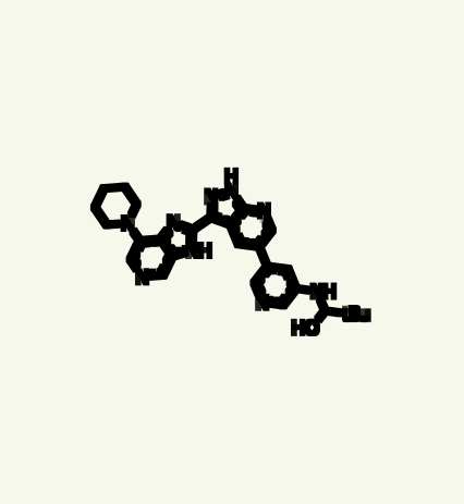 CC(C)(C)C(O)Nc1cncc(-c2cnc3[nH]nc(-c4nc5c(N6CCCCC6)cncc5[nH]4)c3c2)c1